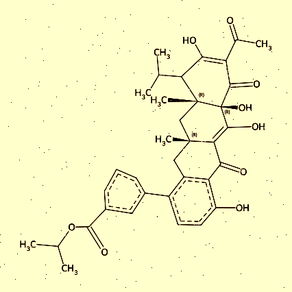 CC(=O)C1=C(O)C(C(C)C)[C@@]2(C)C[C@@]3(C)Cc4c(-c5cccc(C(=O)OC(C)C)c5)ccc(O)c4C(=O)C3=C(O)[C@@]2(O)C1=O